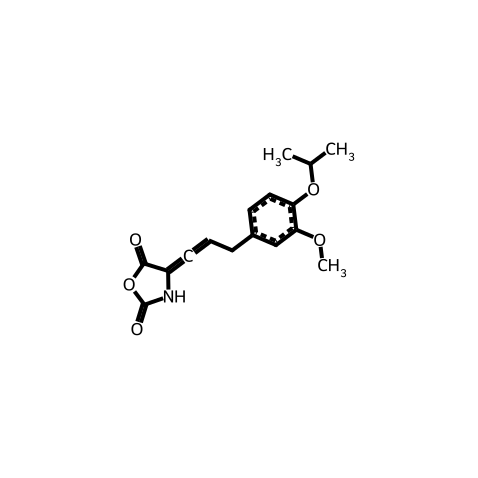 COc1cc(CC=C=C2NC(=O)OC2=O)ccc1OC(C)C